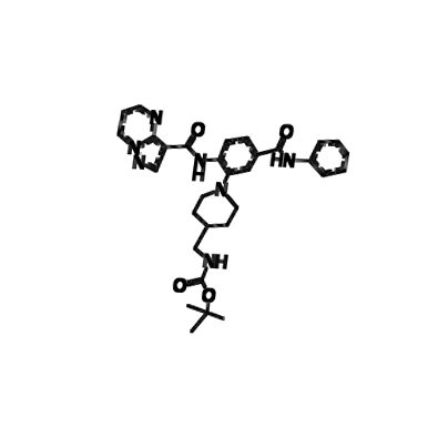 CC(C)(C)OC(=O)NCC1CCN(c2cc(C(=O)Nc3ccccc3)ccc2NC(=O)c2cnn3cccnc23)CC1